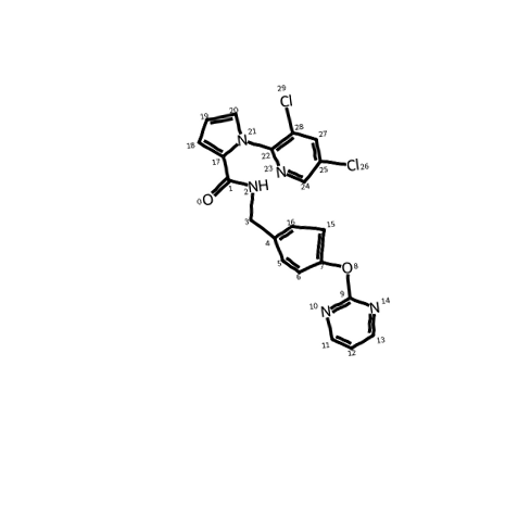 O=C(NCc1ccc(Oc2ncccn2)cc1)c1cccn1-c1ncc(Cl)cc1Cl